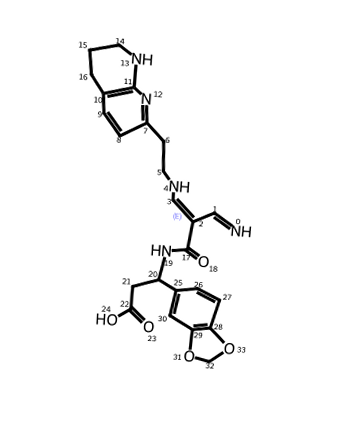 N=C/C(=C\NCCc1ccc2c(n1)NCCC2)C(=O)NC(CC(=O)O)c1ccc2c(c1)OCO2